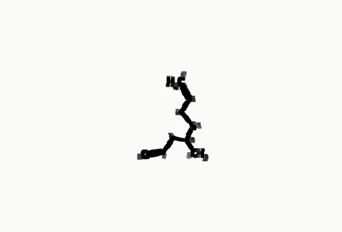 C=CCSC(C)CC=O